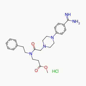 COC(=O)CCN(CCc1ccccc1)C(=O)CN1CCN(c2ccc(C(=N)N)cc2)CC1.Cl